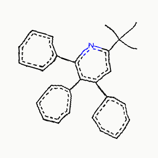 CC(C)(C)c1cc(-c2ccccc2)c(-c2ccccc2)c(-c2ccccc2)n1